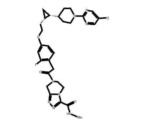 CC(C)(C)NC(=O)c1nnc2n1CCN(C(=O)Cc1ccc(OCC[C@@H]3C[C@@H]3C3CCN(c4ncc(Cl)cn4)CC3)cc1F)C2